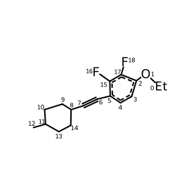 CCOc1ccc(C#CC2CCC(C)CC2)c(F)c1F